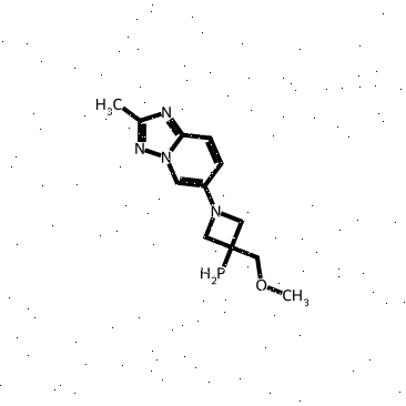 COCC1(P)CN(c2ccc3nc(C)nn3c2)C1